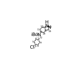 CCC(C)N(Cc1ccc(Cl)cc1)c1ccc2[nH]ncc2c1